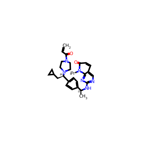 C=CC(=O)N1CCN([C@H](CC2CC2)c2ccc([C@H](C)Nc3ncc4ccc(=O)n(C(C)C)c4n3)cc2)CC1